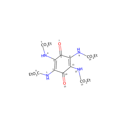 CCOC(=O)NC1=C(NC(=O)OCC)C(=O)C(NC(=O)OCC)=C(NC(=O)OCC)C1=O